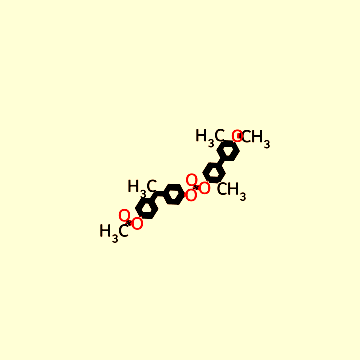 COc1ccc(-c2ccc(OC(=O)Oc3ccc(C(C)c4ccc(OC(C)=O)cc4)cc3)c(C)c2)cc1C